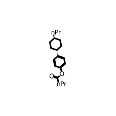 CCCC(=O)Oc1ccc([C@H]2CC[C@H](CCC)CC2)cc1